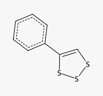 C1=C(c2ccccc2)SSS1